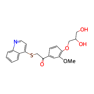 COc1cc(C(=O)CSc2ccnc3ccccc23)ccc1OCC(O)CO